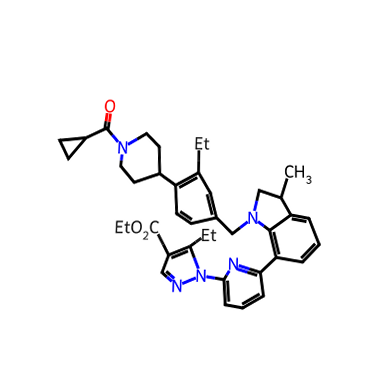 CCOC(=O)c1cnn(-c2cccc(-c3cccc4c3N(Cc3ccc(C5CCN(C(=O)C6CC6)CC5)c(CC)c3)CC4C)n2)c1CC